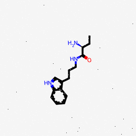 CC[C@H](N)C(=O)NCCCc1c[nH]c2ccccc12